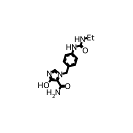 CCNC(=O)Nc1ccc(Cn2cnc(O)c2C(N)=O)cc1